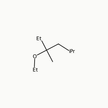 CCOC(C)(CC)CC(C)C